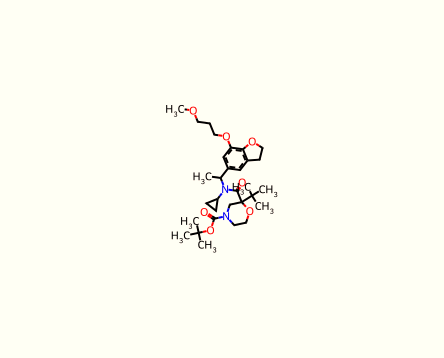 COCCCOc1cc(C(C)N(C(=O)C2(C(C)(C)C)CN(C(=O)OC(C)(C)C)CCO2)C2CC2)cc2c1OCC2